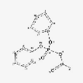 CC(=O)OP(=O)(Oc1ccccc1)Oc1ccccc1